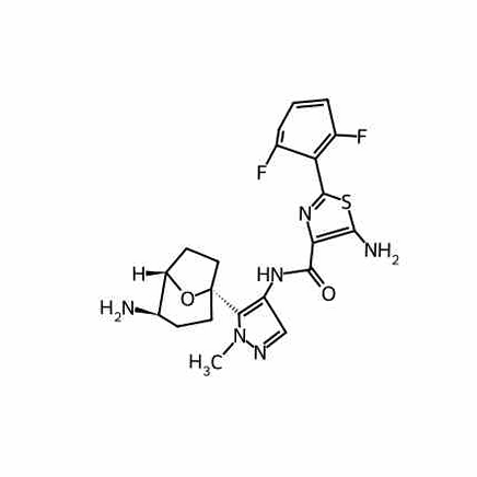 Cn1ncc(NC(=O)c2nc(-c3c(F)cccc3F)sc2N)c1[C@@]12CC[C@@H](N)[C@H](CC1)O2